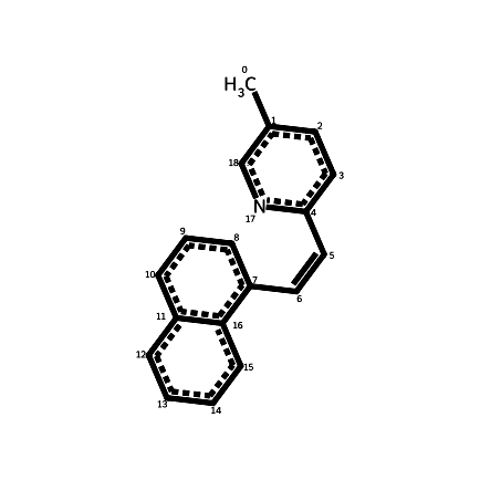 Cc1ccc(/C=C\c2cccc3ccccc23)nc1